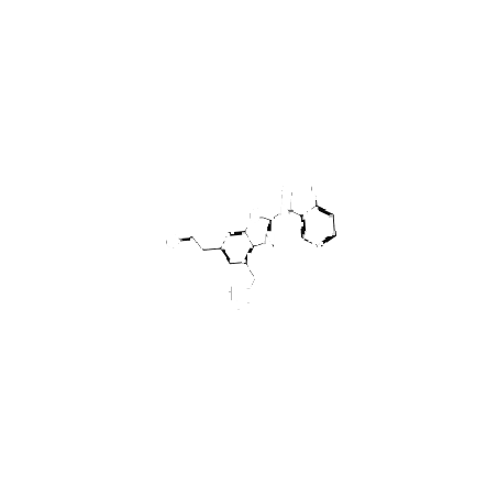 CCc1cc(CC=O)cc2oc(Nc3ccccc3Cl)nc12